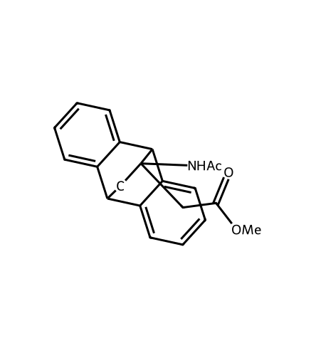 COC(=O)CC1(NC(C)=O)CC2c3ccccc3C1c1ccccc12